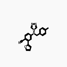 Cc1ccc(CN(c2ccc(C#N)c(-c3ccco3)c2)n2cnnc2)cc1